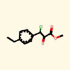 CCc1ccc(C(Cl)C(=O)C(=O)OC)cc1